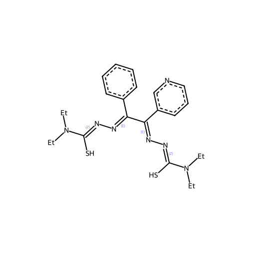 CCN(CC)/C(S)=N/N=C(/C(=N/N=C(\S)N(CC)CC)c1cccnc1)c1ccccc1